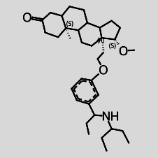 CCC(CC)NC(CC)c1cccc(OCC[C@]23CCC4C(CCC5CC(=O)CC[C@@]54C)C2CC[C@@H]3OC)c1